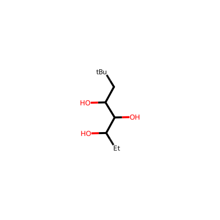 CCC(O)C(O)C(O)CC(C)(C)C